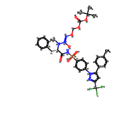 Cc1ccc(-c2cc(C(F)(F)F)nn2-c2ccc(S(=O)(=O)NC(=O)[C@H](Cc3ccccc3)N(C)/[N+]([O-])=N/OCOC(=O)OC(C)(C)C)cc2)cc1